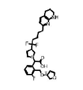 O=C(O)C(c1cccc(F)c1CO[C@H]1CCOC1)N1CCC(C(F)(F)CCCCc2ccc3c(n2)NCCC3)C1